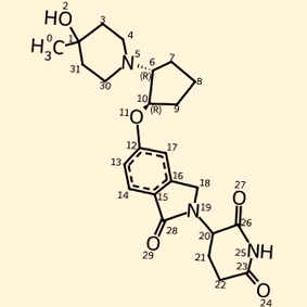 CC1(O)CCN([C@@H]2CCC[C@H]2Oc2ccc3c(c2)CN(C2CCC(=O)NC2=O)C3=O)CC1